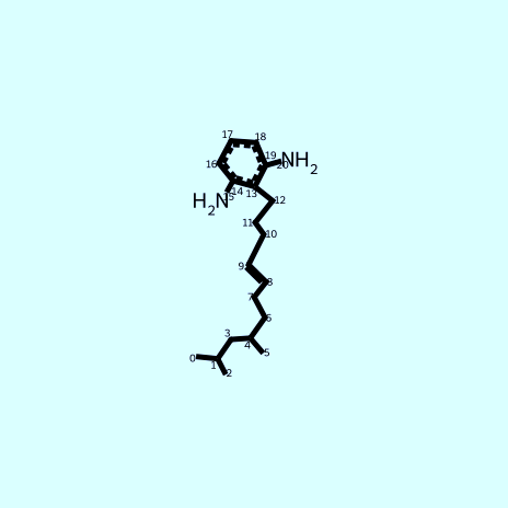 CC(C)CC(C)CCC=CCCCc1c(N)cccc1N